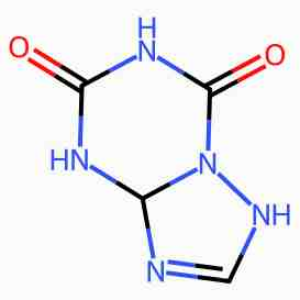 O=C1NC(=O)N2NC=NC2N1